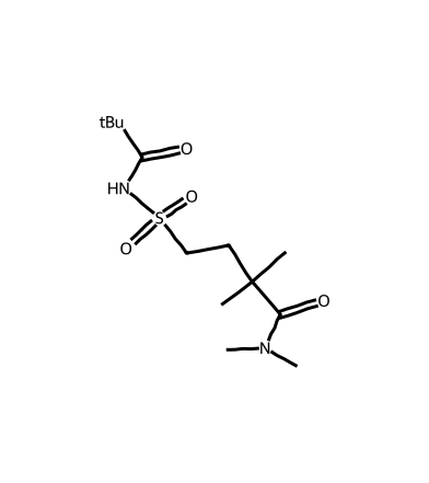 CN(C)C(=O)C(C)(C)CCS(=O)(=O)NC(=O)C(C)(C)C